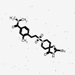 Cc1cc(C(=O)N(C)C)ccc1CCS(=O)(=O)N1CCC2(CC1)N=C(C(C)(C)C)NC2=O